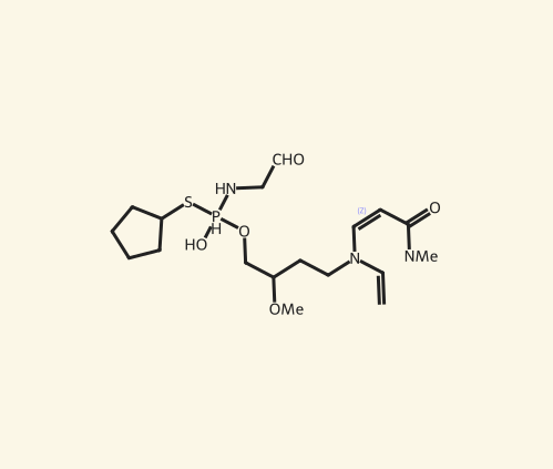 C=CN(/C=C\C(=O)NC)CCC(CO[PH](O)(NCC=O)SC1CCCC1)OC